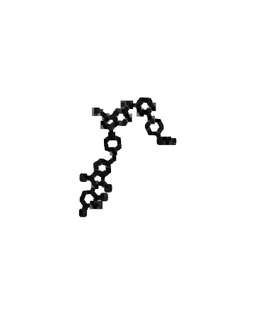 COC1CCN(c2nccc(Nc3cc4c(cn3)c(N3CCN(Cc5ccc6c(c5)C(=O)N(C5CCC(=O)NC5=O)C6=O)CC3)nn4C(C)C)n2)CC1